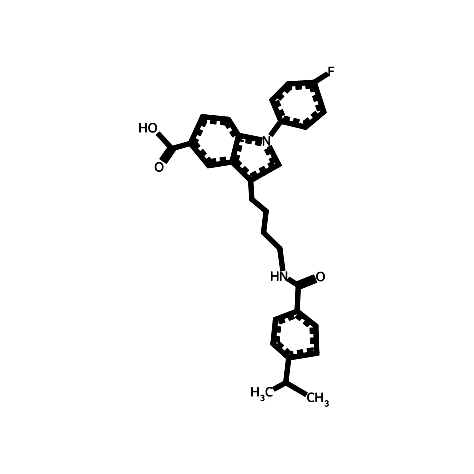 CC(C)c1ccc(C(=O)NCCCCc2cn(-c3ccc(F)cc3)c3ccc(C(=O)O)cc23)cc1